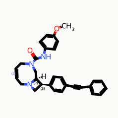 COc1ccc(NC(=O)N2C/C=C\CN3C[C@H](c4ccc(C#Cc5ccccc5)cc4)[C@@H]3C2)cc1